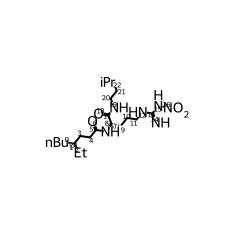 CCCC[C@H](CC)CCC(=O)N[C@@H](CCCNC(=N)N[N+](=O)[O-])C(=O)NCCC(C)C